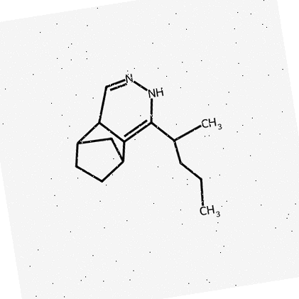 CCCC(C)C1=C2C3CCC(C3)C2C=NN1